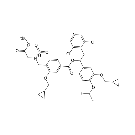 CC(C)(C)OC(=O)CN(Cc1ccc(C(=O)OC(Cc2c(Cl)cncc2Cl)c2ccc(OC(F)F)c(OCC3CC3)c2)cc1OCC1CC1)[SH](=O)=O